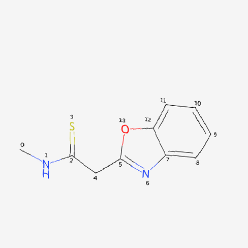 CNC(=S)Cc1nc2ccccc2o1